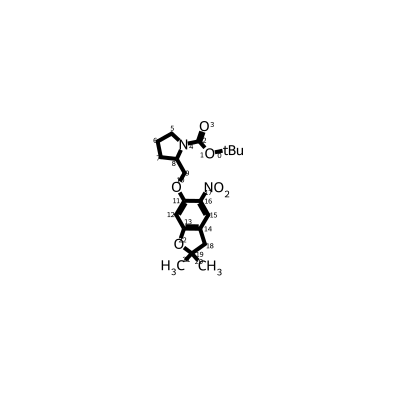 CC(C)(C)OC(=O)N1CCCC1COc1cc2c(cc1[N+](=O)[O-])CC(C)(C)O2